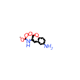 COC(=O)Nc1cc2cc(N)ccc2oc1=O